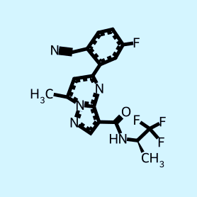 Cc1cc(-c2cc(F)ccc2C#N)nc2c(C(=O)N[C@H](C)C(F)(F)F)cnn12